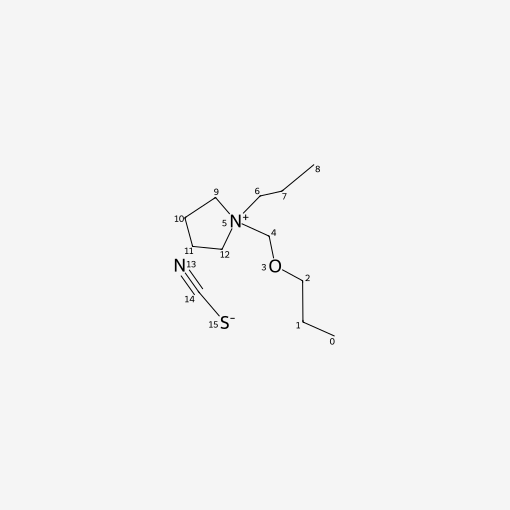 CCCOC[N+]1(CCC)CCCC1.N#C[S-]